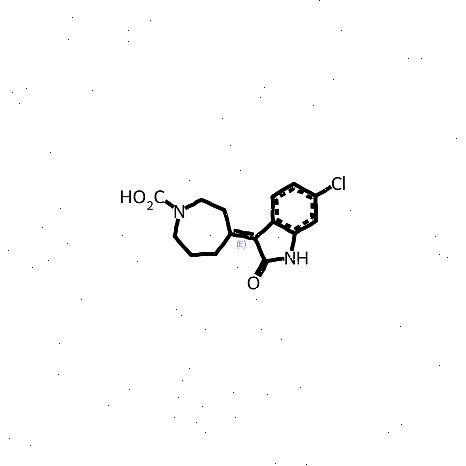 O=C1Nc2cc(Cl)ccc2/C1=C1/CCCN(C(=O)O)CC1